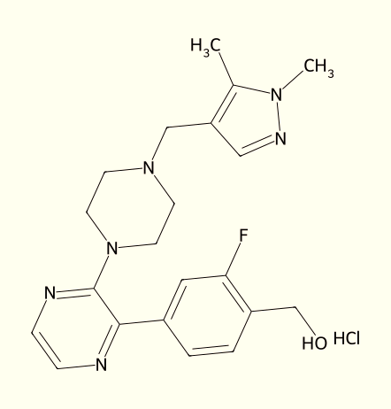 Cc1c(CN2CCN(c3nccnc3-c3ccc(CO)c(F)c3)CC2)cnn1C.Cl